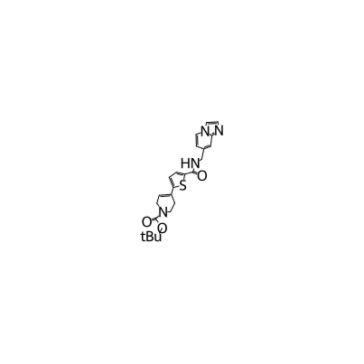 CC(C)(C)OC(=O)N1CC=C(c2ccc(C(=O)NCc3ccn4ccnc4c3)s2)CC1